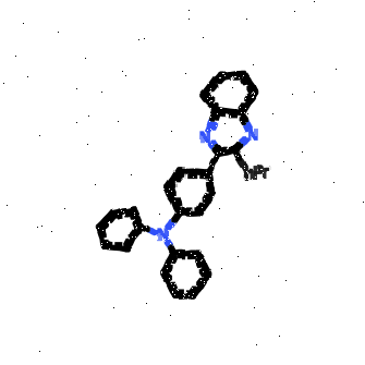 CCCc1nc2ccccc2nc1-c1ccc(N(c2ccccc2)c2ccccc2)cc1